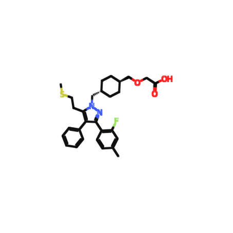 CSCCc1c(-c2ccccc2)c(-c2ccc(C)cc2F)nn1C[C@H]1CC[C@H](COCC(=O)O)CC1